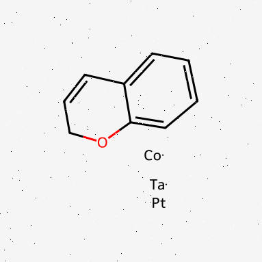 C1=Cc2ccccc2OC1.[Co].[Pt].[Ta]